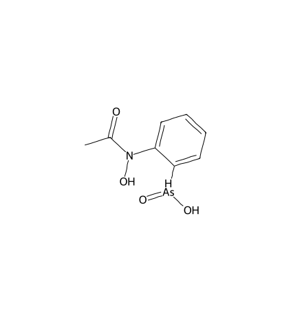 CC(=O)N(O)c1ccccc1[AsH](=O)O